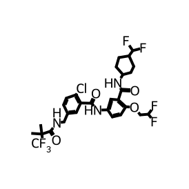 CC(C)(C(=O)NCc1ccc(Cl)c(C(=O)Nc2ccc(OCC(F)F)c(C(=O)NC3CCC(C(F)F)CC3)c2)c1)C(F)(F)F